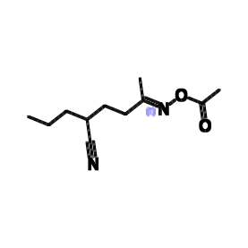 CCCC(C#N)CC/C(C)=N/OC(C)=O